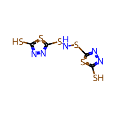 Sc1nnc(SNSc2nnc(S)s2)s1